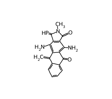 C=C1c2ccccc2C(=O)c2c(N)c3c(c(N)c21)C(=P)N(C)C3=O